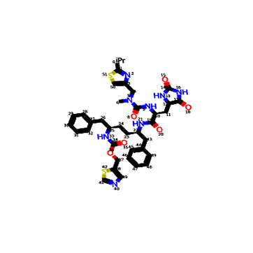 CC(C)c1nc(CN(C)C(=O)N[C@@H](CC2NC(=O)NC2=O)C(=O)N[C@H](CC[C@H](Cc2ccccc2)NC(=O)OCc2cncs2)Cc2ccccc2)cs1